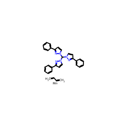 C=CC=C.[Mn].c1ccc(-c2ccn(C(n3ccc(-c4ccccc4)n3)n3ccc(-c4ccccc4)n3)n2)cc1